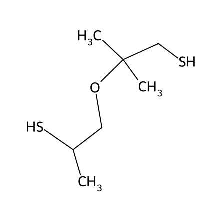 CC(S)COC(C)(C)CS